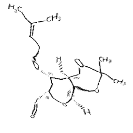 CC(C)=CCO[C@@H]1[C@H]2OC(C)(C)O[C@H]2O[C@@H]1C=O